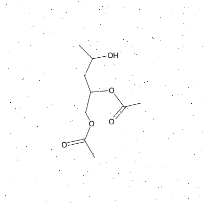 CC(=O)OCC(CC(C)O)OC(C)=O